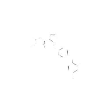 CC(CO)NC(=N)c1c(O)nsc1Nc1ccc(Oc2ccc(F)cc2F)cc1